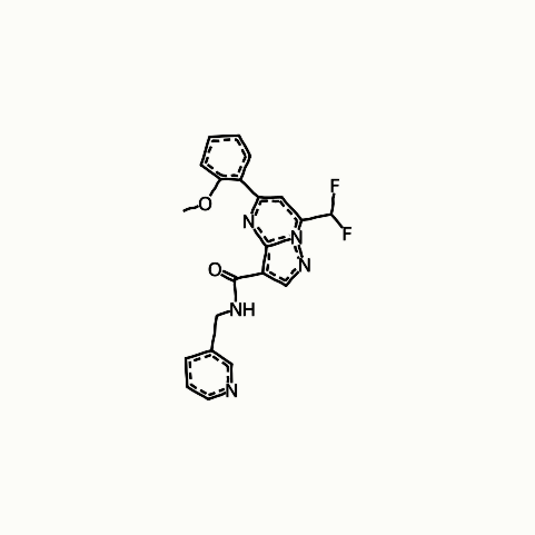 COc1ccccc1-c1cc(C(F)F)n2ncc(C(=O)NCc3cccnc3)c2n1